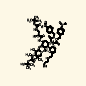 CN(C(=O)OC(C)(C)C)[C@@H]1[C@@H](O)[C@@H](O[C@@H]2[C@@H](O)[C@H](C3OC(CNCCO)=CC[C@H]3NC(=O)OCc3ccc([N+](=O)[O-])cc3)[C@@H](NC(=O)OCc3ccc([N+](=O)[O-])cc3)C[C@H]2NC(=O)[C@@H](O)CNC(=O)OC(C)(C)C)OC[C@]1(C)O